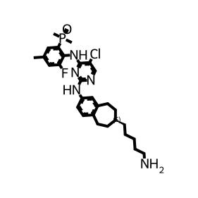 Cc1cc(F)c(Nc2nc(Nc3ccc4c(c3)CC[C@@H](CCCCCN)CC4)ncc2Cl)c(P(C)(C)=O)c1